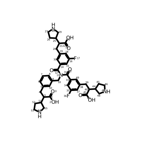 O=C(O)C(Cc1cccc(CN(C(=O)c2cc(F)cc(CC(C(=O)O)C3CCNC3)c2)C(=O)c2cc(F)cc(CC(C(=O)O)C3CCNC3)c2)c1)C1CCNC1